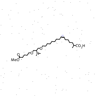 COC(=O)CCCCOCC(COCCCCCCCC/C=C\CCCCC(C)C(=O)O)N(C)C